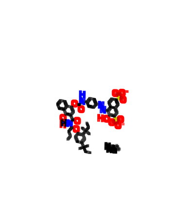 CCCC(NC(=O)c1cc(OC(=O)Nc2ccc(N=Nc3c(O)c(S(=O)(=O)[O-])cc4cc(S(=O)(=O)[O-])ccc34)cc2)c2ccccc2c1O)Oc1ccc(C(C)(C)CC)cc1C(C)(C)CC.[Na+].[Na+]